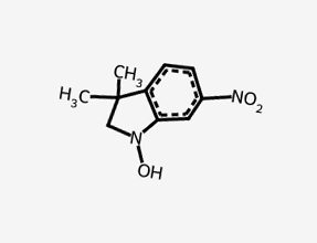 CC1(C)CN(O)c2cc([N+](=O)[O-])ccc21